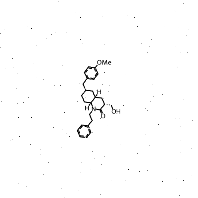 COc1ccc(C[C@@H]2CC[C@@H]3[C@H](C2)C[C@H](CO)C(=O)N3CCc2ccccc2)cc1